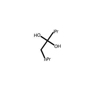 CCCCC(O)(O)C(C)C